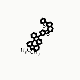 CC1(C)c2ccccc2-c2c(-c3c4ccccc4c(-c4ccc5c(c4)sc4ccc6ccc7c8ccccc8sc7c6c45)c4ccccc34)cccc21